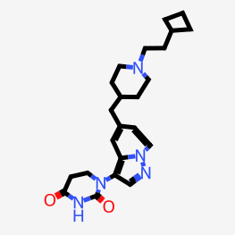 O=C1CCN(c2cnn3ccc(CC4CCN(CCC5CCC5)CC4)cc23)C(=O)N1